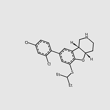 CCC(CC)Sc1cc(-c2ccc(Cl)cc2Cl)cc2c1O[C@H]1CCNC[C@@H]21